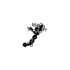 COC(=O)N[C@H](C(=O)N1CCC[C@H]1c1ncc(-c2ccc(N3CCN(C(=O)OCc4ccccc4)CC3)cc2)n1COCC[Si](C)(C)C)C(C)C